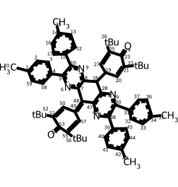 Cc1ccc(-c2nc3c(nc2-c2ccc(C)cc2)C(C2C=C(C(C)(C)C)C(=O)C(C(C)(C)C)=C2)c2nc(-c4ccc(C)cc4)c(-c4ccc(C)cc4)nc2C3=C2C=C(C(C)(C)C)C(=O)C(C(C)(C)C)=C2)cc1